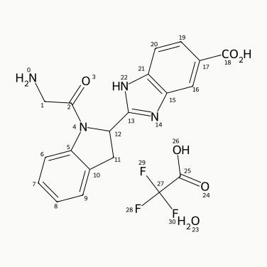 NCC(=O)N1c2ccccc2CC1c1nc2cc(C(=O)O)ccc2[nH]1.O.O=C(O)C(F)(F)F